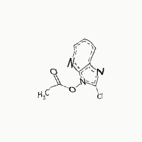 CC(=O)On1c(Cl)nc2cccnc21